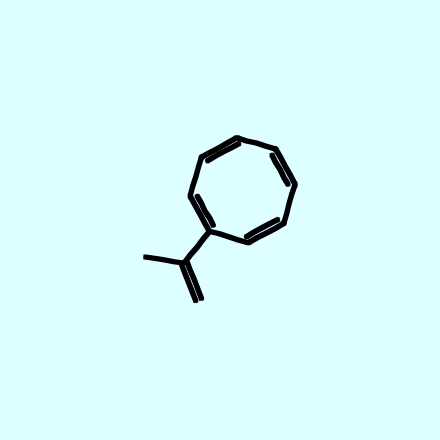 C=C(C)C1=C/C=C\C=C/C=C\1